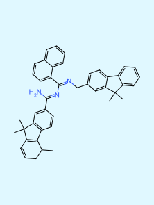 CC1CC=CC2=C1c1ccc(/C(N)=N/C(=N\Cc3ccc4c(c3)C(C)(C)c3ccccc3-4)c3cccc4ccccc34)cc1C2(C)C